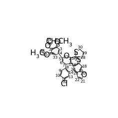 COc1cc(C2=CC(c3ccc(Cl)cc3)C(c3ccc4occc4c3)=C(C3SCCCS3)O2)cc(OC)c1OC